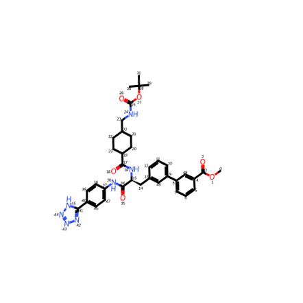 COC(=O)c1cccc(-c2cccc(C[C@H](NC(=O)C3CCC(CNC(=O)OC(C)(C)C)CC3)C(=O)Nc3ccc(-c4nnn[nH]4)cc3)c2)c1